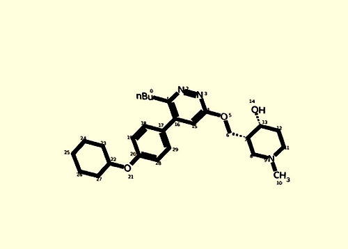 CCCCc1nnc(OC[C@H]2CN(C)CC[C@H]2O)cc1-c1ccc(OC2CCCCC2)cc1